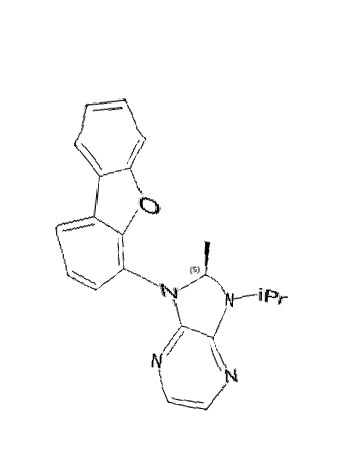 CC(C)N1c2nccnc2N(c2cccc3c2oc2ccccc23)[C@H]1C